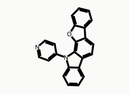 c1ccc2c(c1)oc1c2ccc2c3ccccc3n(-c3ccncc3)c21